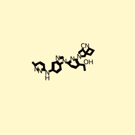 Cc1ccc(Nc2ccc3c(c2)ncn3-c2ccc(C(C)O)c(N3CC(C#N)C4(CCC4)C3)n2)nn1